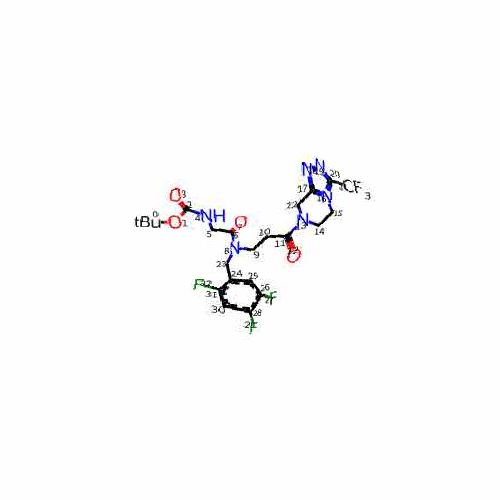 CC(C)(C)OC(=O)NCC(=O)N(CCC(=O)N1CCn2c(nnc2C(F)(F)F)C1)Cc1cc(F)c(F)cc1F